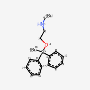 CC(C)(C)NCCO[Si](c1ccccc1)(c1ccccc1)C(C)(C)C